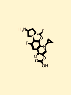 NC1CCN(c2c(F)cc3c(=O)c(OC(=O)O)cn(C4CC4)c3c2OC(F)F)C1